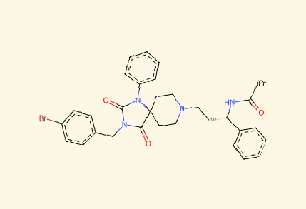 CC(C)C(=O)N[C@@H](CCN1CCC2(CC1)C(=O)N(Cc1ccc(Br)cc1)C(=O)N2c1ccccc1)c1ccccc1